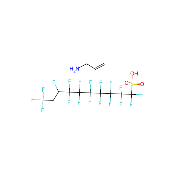 C=CCN.O=S(=O)(O)C(F)(F)C(F)(F)C(F)(F)C(F)(F)C(F)(F)C(F)(F)C(F)(F)C(F)CC(F)(F)F